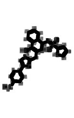 Cc1ccc(-c2csc(Cc3cc(N=S(=O)(O)c4cccs4)c4ccccc4c3O)n2)cc1